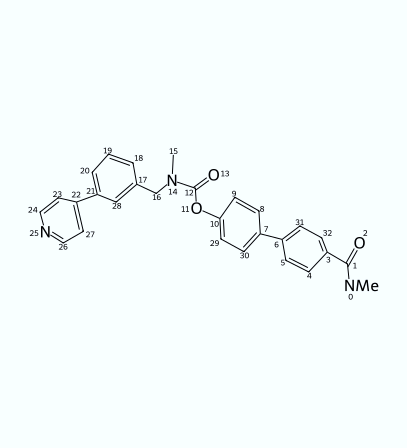 CNC(=O)c1ccc(-c2ccc(OC(=O)N(C)Cc3cccc(-c4ccncc4)c3)cc2)cc1